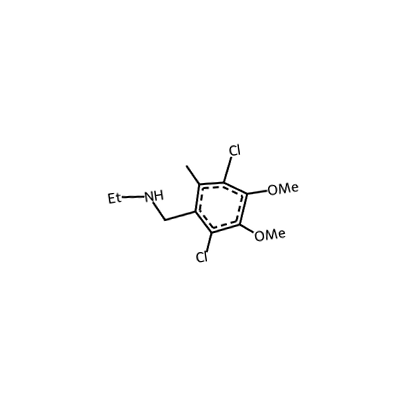 CCNCc1c(C)c(Cl)c(OC)c(OC)c1Cl